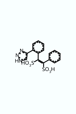 O=S(=O)(O)C(=C(c1ccccc1-c1c[nH]nn1)S(=O)(=O)O)c1ccccc1